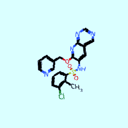 Cc1c(Cl)cccc1S(=O)(=O)Nc1cc2cncnc2nc1OCc1cccnc1